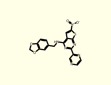 O=[N+]([O-])c1cc2c(NCc3ccc4c(c3)OCO4)nc(-c3cnccn3)nc2s1